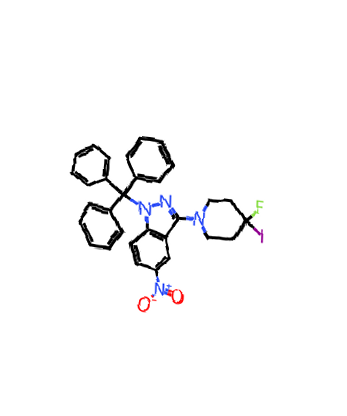 O=[N+]([O-])c1ccc2c(c1)c(N1CCC(F)(I)CC1)nn2C(c1ccccc1)(c1ccccc1)c1ccccc1